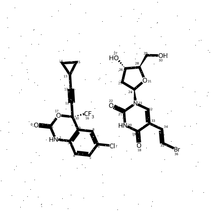 O=C1Nc2ccc(Cl)cc2[C@@](C#CC2CC2)(C(F)(F)F)O1.O=c1[nH]c(=O)n([C@H]2C[C@H](O)[C@@H](CO)O2)cc1/C=C/Br